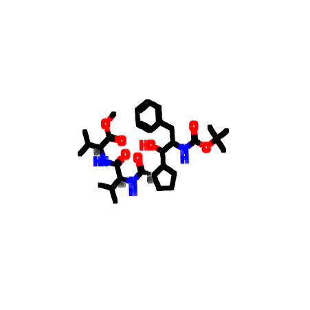 COC(=O)[C@@H](NC(=O)[C@@H](NC(=O)[C@H]1CCCC1C(O)C(Cc1ccccc1)NC(=O)OC(C)(C)C)C(C)C)C(C)C